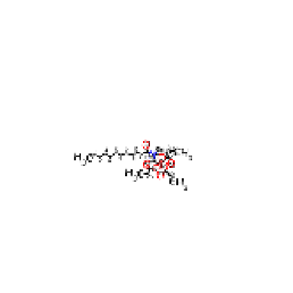 CCCCCCCCCCCC(=O)N(C)CC(OC(=O)CC)(OC(=O)CC)OC(=O)CC